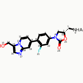 CC(=O)NC[C@H]1CN(c2ccc(-c3ccn4c(CO)cnc4c3)c(F)c2)C(=O)O1